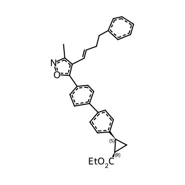 CCOC(=O)[C@@H]1C[C@@H]1c1ccc(-c2ccc(-c3onc(C)c3C=CCCc3ccccc3)cc2)cc1